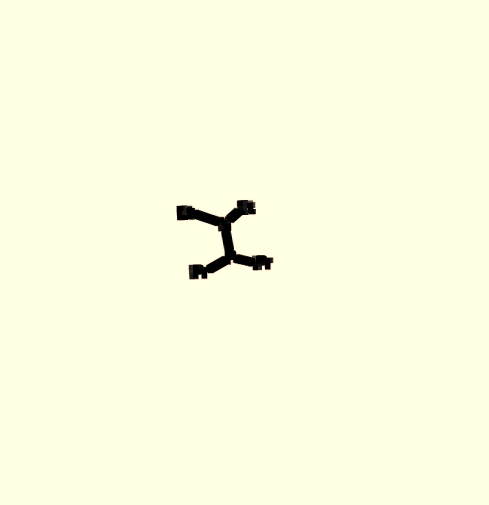 CCN(CC)P(C(C)C)C(C)C